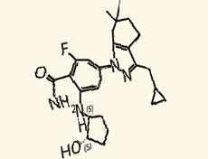 CC1(C)CCc2c(CC3CC3)nn(-c3cc(F)c(C(N)=O)c(N[C@H]4CCC[C@@H]4O)c3)c2C1